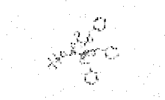 CC(C)(C)[Si](C)(C)OC[C@H]1OC(=O)[C@H](OCc2ccccc2)[C@@H](OCc2ccccc2)[C@@H]1OCc1ccccc1